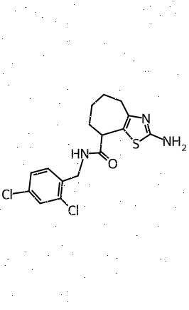 Nc1nc2c(s1)C(C(=O)NCc1ccc(Cl)cc1Cl)CCCC2